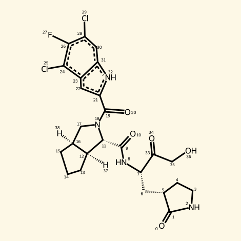 O=C1NCC[C@H]1C[C@H](NC(=O)[C@@H]1[C@H]2CCC[C@H]2CN1C(=O)c1cc2c(Cl)c(F)c(Cl)cc2[nH]1)C(=O)CO